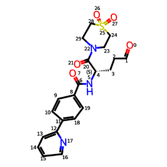 O=CCC[C@H](NC(=O)c1ccc(-c2ccccn2)cc1)C(=O)N1CCS(=O)(=O)CC1